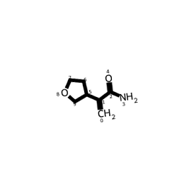 C=C(C(N)=O)C1CCOC1